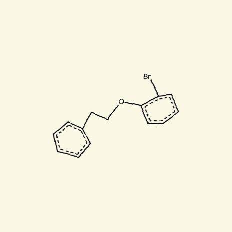 Brc1ccccc1OCCc1ccccc1